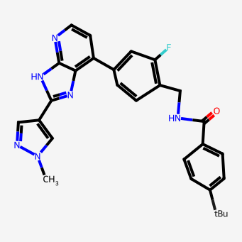 Cn1cc(-c2nc3c(-c4ccc(CNC(=O)c5ccc(C(C)(C)C)cc5)c(F)c4)ccnc3[nH]2)cn1